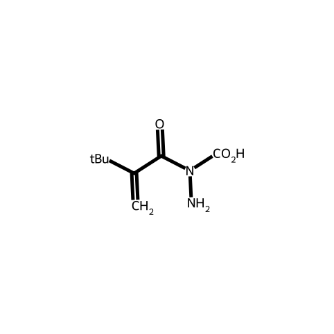 C=C(C(=O)N(N)C(=O)O)C(C)(C)C